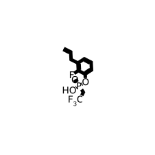 C=CCc1cccc(OP(=O)(O)CC(F)(F)F)c1F